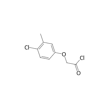 Cc1cc(OCC(=O)Cl)ccc1Cl